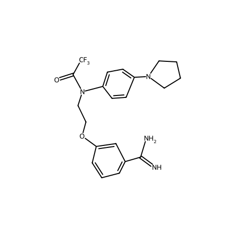 N=C(N)c1cccc(OCCN(C(=O)C(F)(F)F)c2ccc(N3CCCC3)cc2)c1